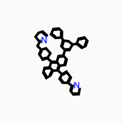 C1=CN=C(CC2=CC=C(c3c4ccccc4c(-c4ccc(-c5ccccn5)cc4)c4ccc(C5=CC(c6ccccc6)CC(c6ccccc6)=C5)cc34)CC2)CC1